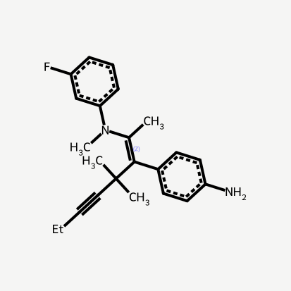 CCC#CC(C)(C)/C(=C(/C)N(C)c1cccc(F)c1)c1ccc(N)cc1